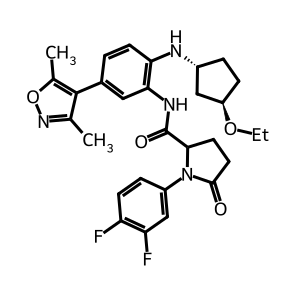 CCO[C@@H]1CC[C@@H](Nc2ccc(-c3c(C)noc3C)cc2NC(=O)C2CCC(=O)N2c2ccc(F)c(F)c2)C1